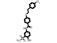 CS(=O)(=O)c1cc(NC(=O)c2ccc(SCCc3ccc(C(F)(F)F)cc3)cc2)ccc1O